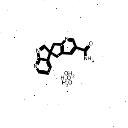 NC(=O)c1cnc2c(c1)CC1(C=Nc3ncccc31)C2.O.O.O